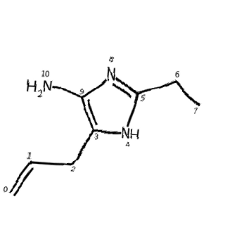 C=CCc1[nH]c(CC)nc1N